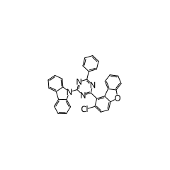 Clc1ccc2oc3ccccc3c2c1-c1nc(-c2ccccc2)nc(-n2c3ccccc3c3ccccc32)n1